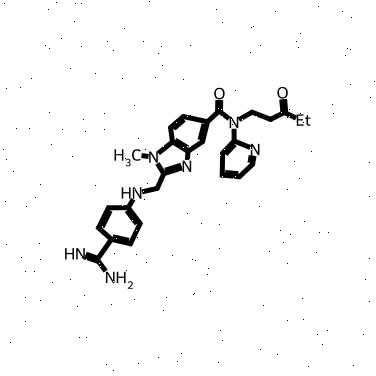 CCC(=O)CCN(C(=O)c1ccc2c(c1)nc(CNc1ccc(C(=N)N)cc1)n2C)c1ccccn1